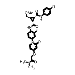 COC[C@@H]1[C@@H](C(=O)Nc2ccc(-n3ccc(OCC(=O)N(C)C)cc3=O)cc2F)[C@H]1C(=O)Nc1ccc(Cl)cc1